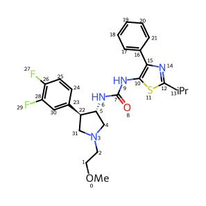 COCCN1C[C@@H](NC(=O)Nc2sc(C(C)C)nc2-c2ccccc2)[C@H](c2ccc(F)c(F)c2)C1